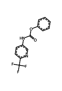 O=C(Nc1ccc(C(F)(F)F)nc1)Oc1ccccc1